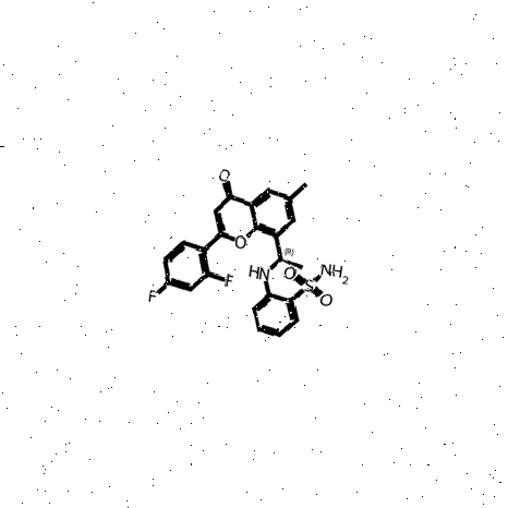 Cc1cc([C@@H](C)Nc2ccccc2S(N)(=O)=O)c2oc(-c3ccc(F)cc3F)cc(=O)c2c1